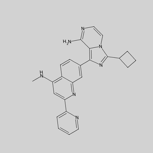 CNc1cc(-c2ccccn2)nc2cc(-c3nc(C4CCC4)n4ccnc(N)c34)ccc12